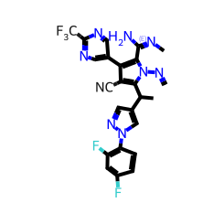 C=Nn1c(/C(N)=N\C)c(-c2cnc(C(F)(F)F)nc2)c(C#N)c1C(C)c1cnn(-c2ccc(F)cc2F)c1